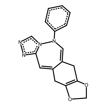 C1=C2CC3=C(CC2=CN(c2ccccc2)n2cnnc21)OCO3